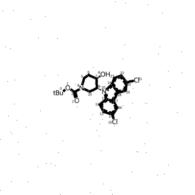 CC(C)(C)OC(=O)N1CC[C@@H](O)[C@H](n2c3ccc(Cl)cc3c3cc(Cl)ccc32)C1